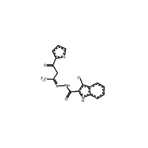 O=C(CC(=NNC(=O)c1[nH]c2ccccc2c1Cl)C(F)(F)F)c1cccs1